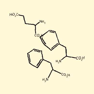 NC(CCC(=O)O)C(=O)O.NC(Cc1ccccc1)C(=O)O.NC(Cc1ccccc1)C(=O)O